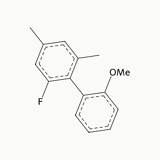 COc1ccccc1-c1c(C)cc(C)cc1F